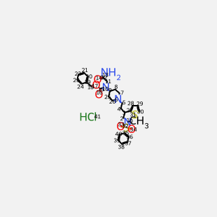 CN(CC(CCN1CCC(N(CC(N)=O)C(=O)OCc2ccccc2)CC1)c1cccs1)S(=O)(=O)c1ccccc1.Cl